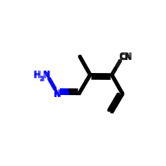 C=C/C(C#N)=C(C)\C=N/N